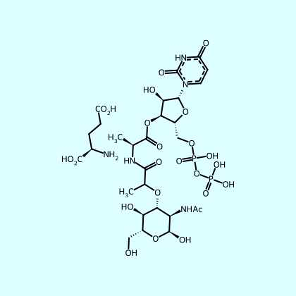 CC(=O)N[C@@H]1[C@@H](OC(C)C(=O)N[C@@H](C)C(=O)O[C@H]2[C@@H](O)[C@H](n3ccc(=O)[nH]c3=O)O[C@@H]2COP(=O)(O)OP(=O)(O)O)[C@H](O)[C@@H](CO)O[C@@H]1O.N[C@H](CCC(=O)O)C(=O)O